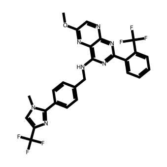 COc1cnc2nc(-c3ccccc3C(F)(F)F)nc(NCc3ccc(-c4nc(C(F)(F)F)cn4C)cc3)c2n1